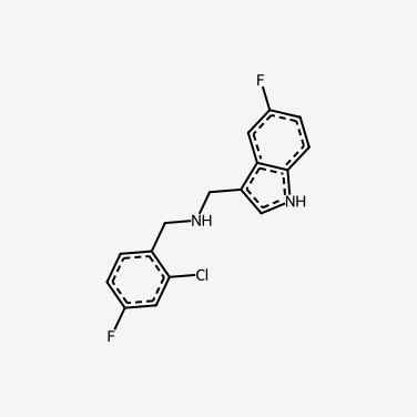 Fc1ccc(CNCc2c[nH]c3ccc(F)cc23)c(Cl)c1